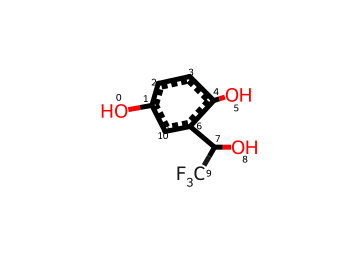 Oc1ccc(O)c(C(O)C(F)(F)F)c1